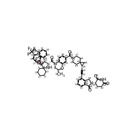 C[C@H]1CN(C(=O)[C@@H]2NC3(CCCCC3)[C@@]3(CNc4cc(C(F)(F)F)ncc43)[C@H]2c2cccc(Cl)c2F)c2ccc(C(=O)N3CCC4(CC3)C[C@H]4C#Cc3cccc4c3CN([C@H]3CCC(=O)NC3=O)C4=O)cc2O1